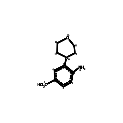 Nc1ccc(C(=O)O)cc1N1CCOCC1